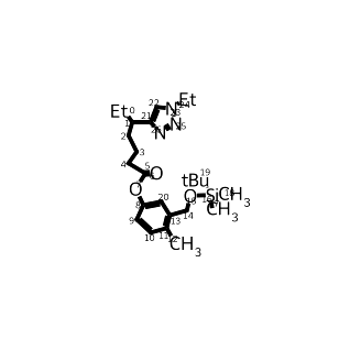 CCC(CCCC(=O)Oc1ccc(C)c(CO[Si](C)(C)C(C)(C)C)c1)c1cn(CC)nn1